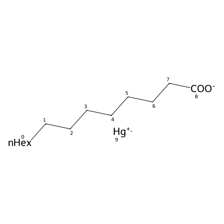 CCCCCCCCCCCCCC(=O)[O-].[Hg+]